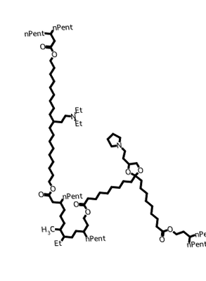 CCCCCC(CCCCC)CCOC(=O)CCCCCCCCC1(CCCCCCCCC(=O)OCCC(CCCCC)CCC(CC)C(C)CCCC(CCCCC)CC(=O)OCCCCCCCCCC(CCCCCCCCCOC(=O)CC(CCCCC)CCCCC)CCN(CC)CC)OCC(CCN2CCCC2)O1